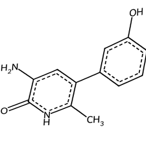 Cc1[nH]c(=O)c(N)cc1-c1cccc(O)c1